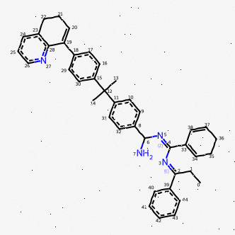 CC/C(=N\C(=N/C(N)c1ccc(C(C)(C)c2ccc(C3=CCCc4cccnc43)cc2)cc1)C1=CCCC=C1)c1ccccc1